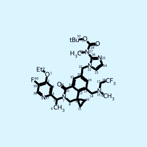 CCOc1cc(C(C)N2CC3(CC3)c3c(CN(C)CC(F)(F)F)cc(Cn4ccnc4N(C)C(=O)OC(C)(C)C)cc3C2=O)ncc1F